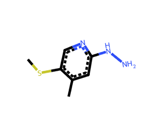 CSc1cnc(NN)cc1C